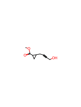 COC(=O)C1CC1CC#CCO